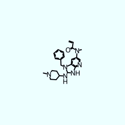 C=CC(=O)N(C)c1cnc2c(c1)N(Cc1ccccc1)C(NC1CCN(C)CC1)N2